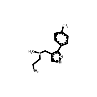 Cc1ccc(-c2n[nH]cc2CN(C)CCN)cc1